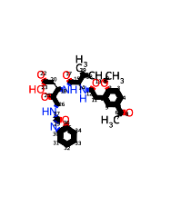 COc1ccc(C(C)=O)cc1CC(=O)N[C@H](C(=O)N[C@@H](CC(=O)O)C(=O)CNc1nc2ccccc2o1)C(C)C